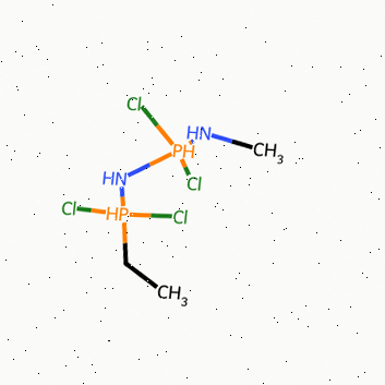 CC[PH](Cl)(Cl)N[PH](Cl)(Cl)NC